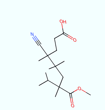 COC(=O)C(C)(CC(C)(C)C(C)(C#N)CCC(=O)O)C(C)C